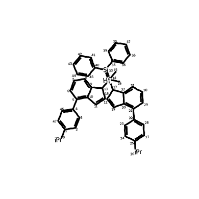 CC(C)c1ccc(-c2cccc3c2C=C[CH]3[Hf]([CH3])([CH3])([CH]2C=Cc3c(-c4ccc(C(C)C)cc4)cccc32)=[Si](c2ccccc2)c2ccccc2)cc1